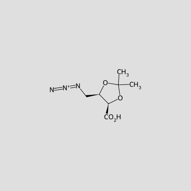 CC1(C)O[C@H](CN=[N+]=[N-])[C@H](C(=O)O)O1